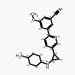 COc1cc(C#N)cc(-c2ccc(C3CC3NC3CCC(N)CC3)cn2)c1